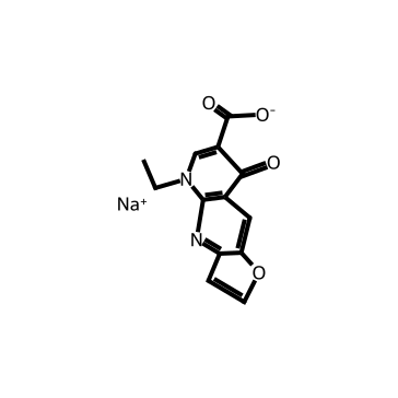 CCn1cc(C(=O)[O-])c(=O)c2cc3occc3nc21.[Na+]